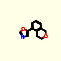 c1cc2c(c(-c3cnco3)c1)CCOC2